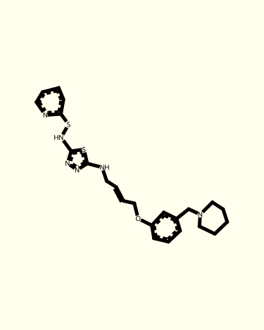 C(=CCOc1cccc(CN2CCCCC2)c1)CNc1nnc(NSc2ccccn2)s1